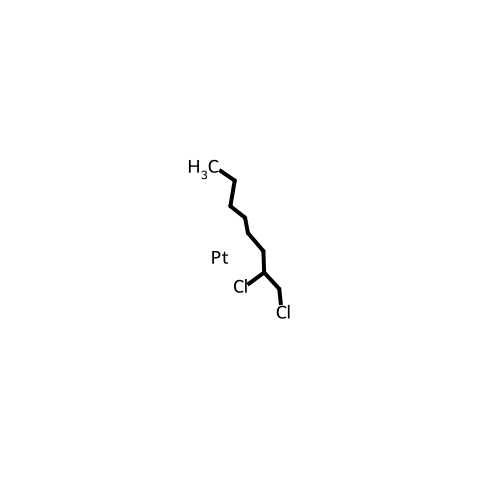 CCCCCCC(Cl)CCl.[Pt]